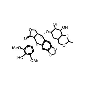 COc1cc([C@H]2c3cc4c(cc3[C@@H](OC3CC5COC(C)OC5C(O)C3O)C3COC(=O)C32)OCO4)cc(OC)c1O